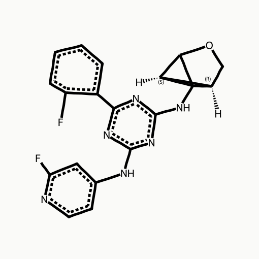 Fc1cc(Nc2nc(NC34C5OC[C@@H]3[C@H]54)nc(-c3ccccc3F)n2)ccn1